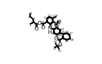 CCCC(C)C(=O)OC(=O)c1ccc(C)c([N+](=O)[O-])c1Nc1ccc(-c2ccccc2C(=O)OC(C)(C)C)cc1